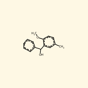 COc1ccc(C)cc1C(O)c1ccccc1